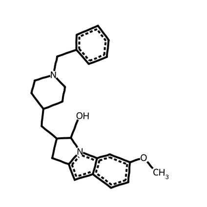 COc1ccc2cc3n(c2c1)C(O)C(CC1CCN(Cc2ccccc2)CC1)C3